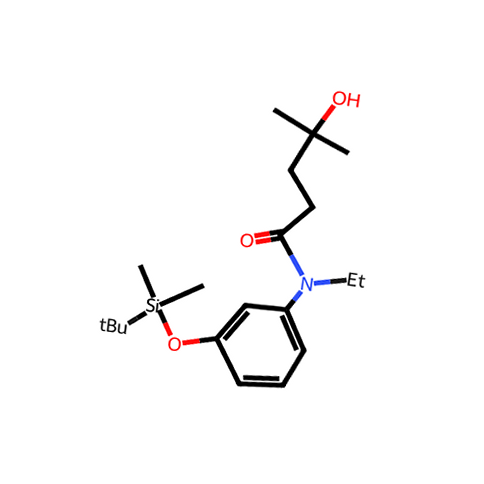 CCN(C(=O)CCC(C)(C)O)c1cccc(O[Si](C)(C)C(C)(C)C)c1